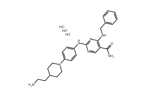 Cl.Cl.Cl.NCCC1CCN(c2ccc(Nc3ncc(C(N)=O)c(NCc4ccccc4)n3)cc2)CC1